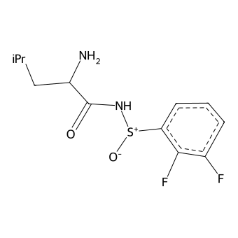 CC(C)CC(N)C(=O)N[S+]([O-])c1cccc(F)c1F